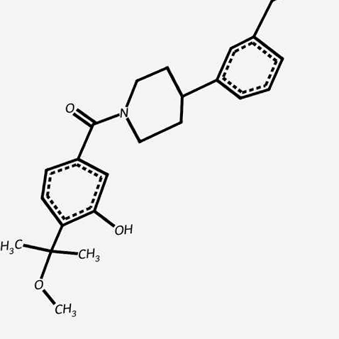 COC(C)(C)c1ccc(C(=O)N2CCC(c3cccc(CN)c3)CC2)cc1O